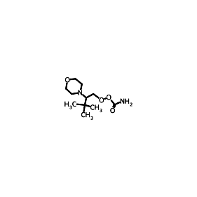 CC(C)(C)C(COOC(N)=O)N1CCOCC1